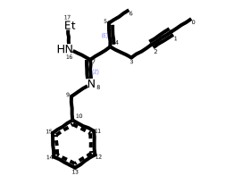 CC#CCC(=C\C)/C(=N/Cc1ccccc1)NCC